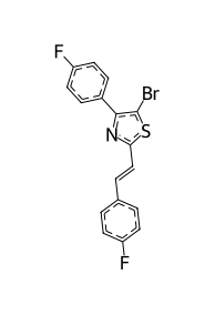 Fc1ccc(C=Cc2nc(-c3ccc(F)cc3)c(Br)s2)cc1